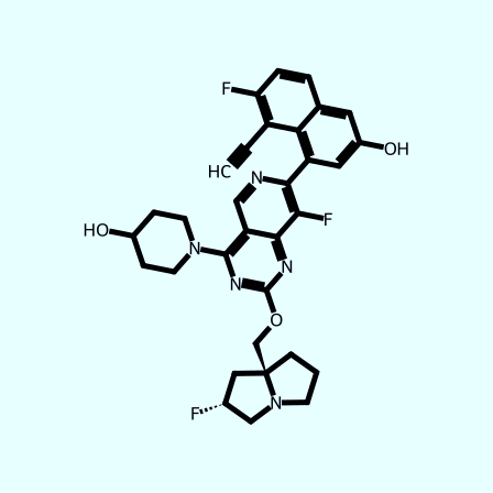 C#Cc1c(F)ccc2cc(O)cc(-c3ncc4c(N5CCC(O)CC5)nc(OC[C@@]56CCCN5C[C@H](F)C6)nc4c3F)c12